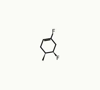 C[C@H]1CC=C(F)C[C@H]1F